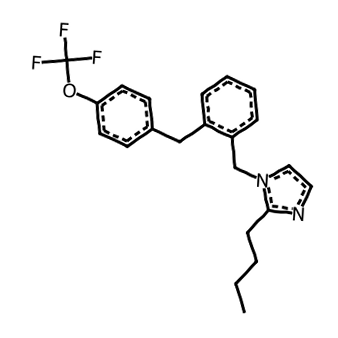 CCCCc1nccn1Cc1ccccc1Cc1ccc(OC(F)(F)F)cc1